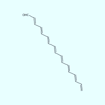 C=CC=CC=CC=CC=CC=CC=CC=CC=O